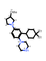 CCC1(CC)CCC(c2cc(N3CCC(OC)C3)ccc2N2CCNCC2)CC1